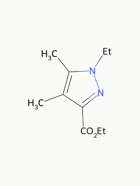 CCOC(=O)c1nn(CC)c(C)c1C